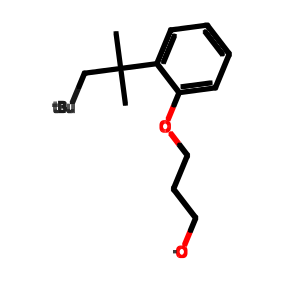 CC(C)(C)CC(C)(C)c1ccccc1OCCC[O]